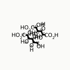 O=C(O)C(O)C(O)C(O)C(O)C(=O)O.O=C(O)C(O)C(O)C(O)C(O)CO